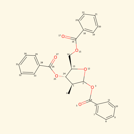 C[C@@H]1C(OC(=O)c2ccccc2)O[C@H](COC(=O)c2ccccc2)[C@H]1OC(=O)c1ccccc1